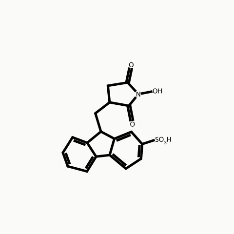 O=C1CC(CC2c3ccccc3-c3ccc(S(=O)(=O)O)cc32)C(=O)N1O